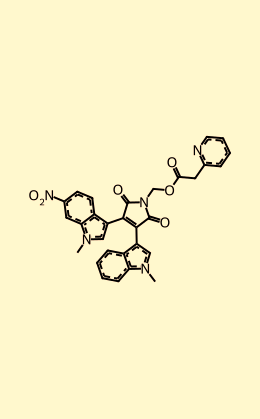 Cn1cc(C2=C(c3cn(C)c4cc([N+](=O)[O-])ccc34)C(=O)N(COC(=O)Cc3ccccn3)C2=O)c2ccccc21